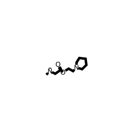 CN(C)CC(=O)OCCN1CCCCC1